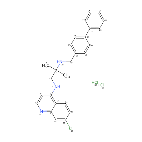 CC(C)(CNc1ccnc2cc(Cl)ccc12)NCc1ccc(-c2ccccc2)cc1.Cl.Cl